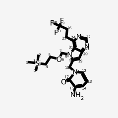 C[Si](C)(C)CCOCn1c(Cn2cccc(N)c2=O)cc2ncnc(CCC(F)(F)F)c21